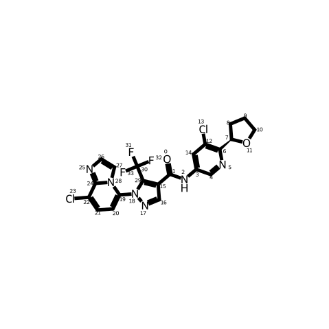 O=C(Nc1cnc([C@H]2CCCO2)c(Cl)c1)c1cnn(-c2ccc(Cl)c3nccn23)c1C(F)(F)F